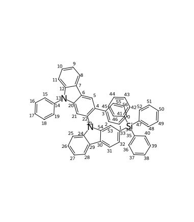 c1ccc(-c2cc3c4ccccc4n(-c4ccccc4)c3cc2-n2c3ccccc3c3ccc([Si](c4ccccc4)(c4ccccc4)c4ccccc4)cc32)cc1